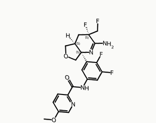 COc1ccc(C(=O)Nc2cc(F)c(F)c([C@]34COC[C@H]3C[C@@](F)(CF)C(N)=N4)c2)nc1